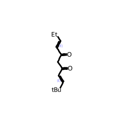 CC/C=C/C(=O)CC(=O)/C=C/C(C)(C)C